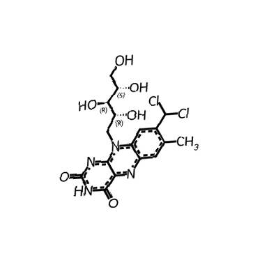 Cc1cc2nc3c(=O)[nH]c(=O)nc-3n(C[C@@H](O)[C@@H](O)[C@@H](O)CO)c2cc1C(Cl)Cl